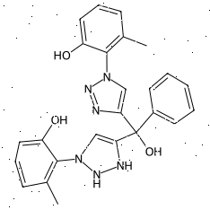 Cc1cccc(O)c1N1C=C(C(O)(c2ccccc2)c2cn(-c3c(C)cccc3O)nn2)NN1